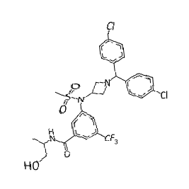 CC(CO)NC(=O)c1cc(N(C2CN(C(c3ccc(Cl)cc3)c3ccc(Cl)cc3)C2)S(C)(=O)=O)cc(C(F)(F)F)c1